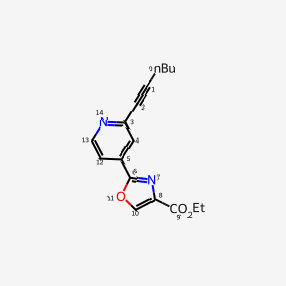 CCCCC#Cc1cc(-c2nc(C(=O)OCC)co2)ccn1